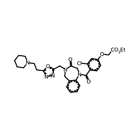 CCOC(=O)COc1ccc(C(=O)N2CC(=O)N(Cc3nnc(CCN4CCCCC4)o3)Cc3ccccc32)c(Cl)c1